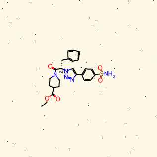 CCOC(=O)C1CCN(C(=O)[C@H](Cc2ccccc2)n2cc(-c3ccc(S(N)(=O)=O)cc3)nn2)CC1